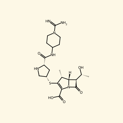 C[C@@H](O)[C@H]1C(=O)N2C(C(=O)O)=C(S[C@@H]3CN[C@H](C(=O)NC4CCN(C(=N)N)CC4)C3)[C@H](C)[C@H]12